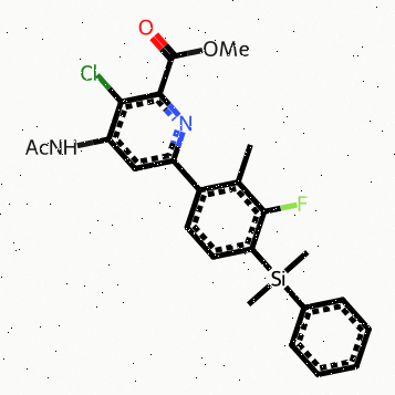 COC(=O)c1nc(-c2ccc([Si](C)(C)c3ccccc3)c(F)c2C)cc(NC(C)=O)c1Cl